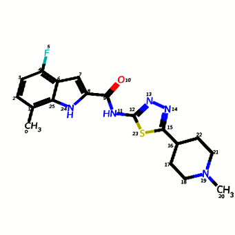 Cc1ccc(F)c2cc(C(=O)Nc3nnc(C4CCN(C)CC4)s3)[nH]c12